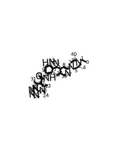 CCN1[C@H](C)CN(C2=CC(c3n[nH]c4ccc(NC(=O)C5=C(C)N(C)c6nnnn6C5C)cc34)C(C)C=N2)C[C@@H]1C